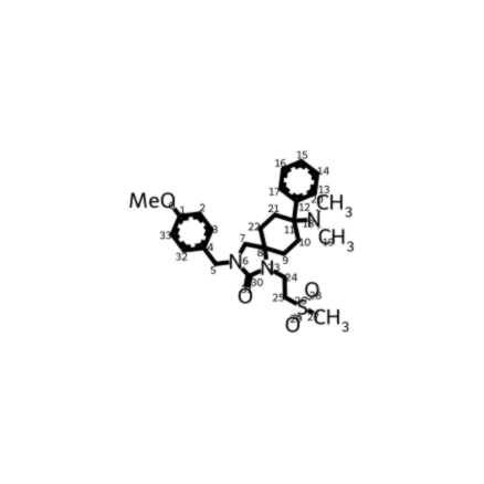 COc1ccc(CN2CC3(CCC(c4ccccc4)(N(C)C)CC3)N(CCS(C)(=O)=O)C2=O)cc1